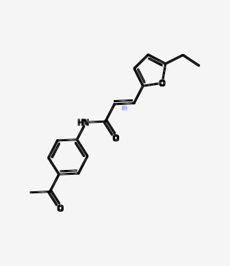 CCc1ccc(/C=C/C(=O)Nc2ccc(C(C)=O)cc2)o1